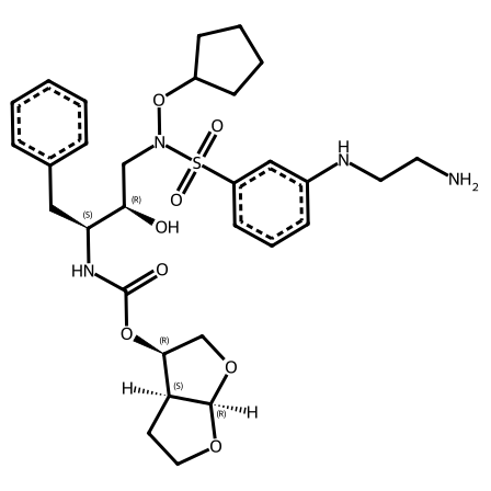 NCCNc1cccc(S(=O)(=O)N(C[C@@H](O)[C@H](Cc2ccccc2)NC(=O)O[C@H]2CO[C@H]3OCC[C@H]32)OC2CCCC2)c1